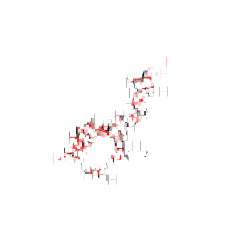 C=C1C[C@@H]2CC[C@]34OC5[C@@H]6O[C@H]7CC[C@H](CC(=O)O[C@@H]8[C@@H](C)[C@@H]9O[C@@H]%10C[C@@]%11(C[C@@H]%12O[C@]%13(C[C@H](C)[C@@H]%14O[C@@H]%15[C@@H]([C@@H](O)CO)CO[C@@H]%15C[C@@H]%14O%13)C[C@H](C)[C@@H]%12O%11)O[C@@H]%10C[C@@H]9O[C@H]8C[C@H]8O[C@@H](CC[C@@H]1O2)C[C@@H](C)C8=C)O[C@@H]7[C@H](O3)[C@@H]6O[C@@]5(C)[C@H]4O